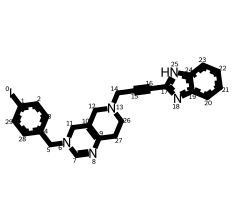 Ic1ccc(CN2C=NC3=C(C2)CN(CC#Cc2nc4ccccc4[nH]2)CC3)cc1